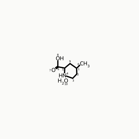 CC1CCNC(C(=O)O)C1.O